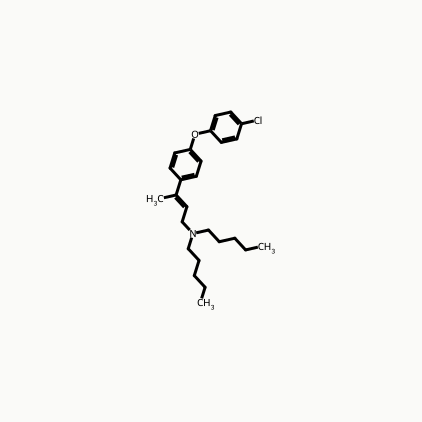 CCCCCN(CC=C(C)c1ccc(Oc2ccc(Cl)cc2)cc1)CCCCC